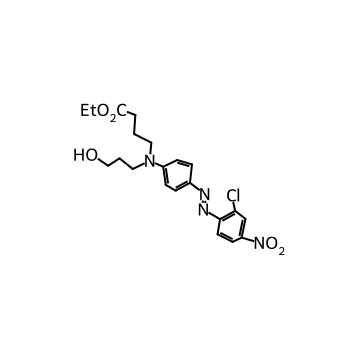 CCOC(=O)CCCN(CCCO)c1ccc(N=Nc2ccc([N+](=O)[O-])cc2Cl)cc1